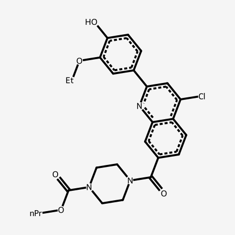 CCCOC(=O)N1CCN(C(=O)c2ccc3c(Cl)cc(-c4ccc(O)c(OCC)c4)nc3c2)CC1